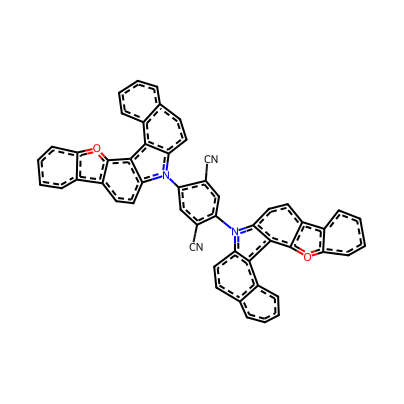 N#Cc1cc(-n2c3ccc4ccccc4c3c3c4oc5ccccc5c4ccc32)c(C#N)cc1-n1c2ccc3ccccc3c2c2c3oc4ccccc4c3ccc21